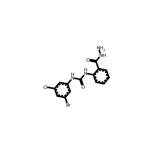 NNC(=O)c1ccccc1NC(=O)Nc1cc(Cl)cc(Br)c1